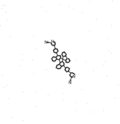 N#Cc1cc(-c2ccc(-c3cc4c(c5ccccc35)-c3c(cc(-c5ccc(-c6ccnc(C#N)c6)cc5)c5ccccc35)C43c4ccccc4-c4ccccc43)cc2)ccn1